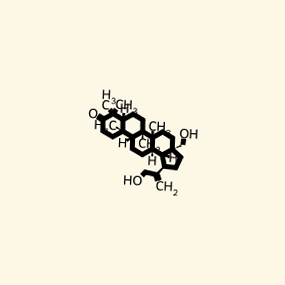 C=C(CO)[C@@H]1CC[C@]2(CO)CC[C@]3(C)[C@H](CC[C@@H]4[C@@]5(C)CCC(=O)C(C)(C)[C@@H]5CC[C@]43C)[C@@H]12